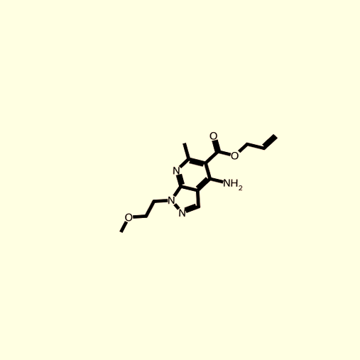 C=CCOC(=O)c1c(C)nc2c(cnn2CCOC)c1N